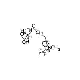 Cn1nc(C(F)(F)F)c2ccc(CC3CC4(C3)CN(C(=O)N3CC[C@@H]5OCC(=O)N[C@@H]5C3)C4)nc21